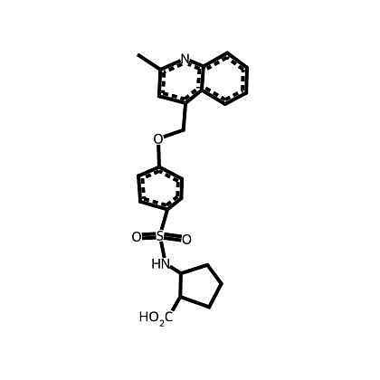 Cc1cc(COc2ccc(S(=O)(=O)NC3CCCC3C(=O)O)cc2)c2ccccc2n1